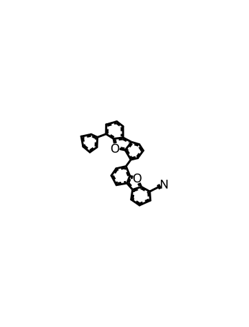 N#Cc1cccc2c1oc1c(-c3cccc4c3oc3c(-c5ccccc5)cccc34)cccc12